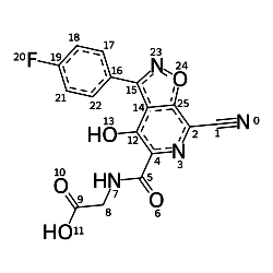 N#Cc1nc(C(=O)NCC(=O)O)c(O)c2c(-c3ccc(F)cc3)noc12